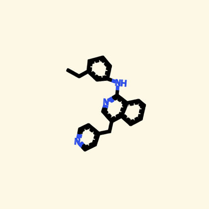 CCc1cccc(Nc2ncc(Cc3ccncc3)c3ccccc23)c1